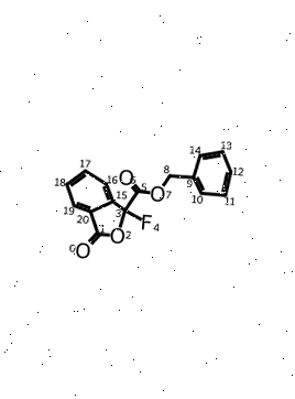 O=C1OC(F)(C(=O)OCc2ccccc2)c2ccccc21